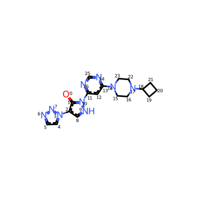 O=c1c(-n2ccnn2)c[nH]n1-c1cc(N2CCN(C3CCC3)CC2)ncn1